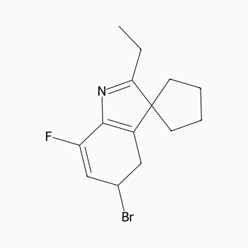 CCC1=NC2=C(CC(Br)C=C2F)C12CCCC2